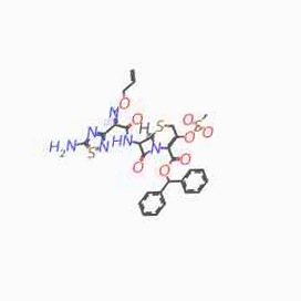 C=CCO/N=C(\C(=O)NC1C(=O)N2C(C(=O)OC(c3ccccc3)c3ccccc3)=C(OS(C)(=O)=O)CS[C@H]12)c1nsc(N)n1